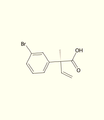 C=C[C@](C)(C(=O)O)c1cccc(Br)c1